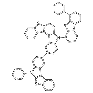 c1ccc(-c2cccc3c2sc2c(-n4c5ccc(-c6ccc7c(c6)c6c8ccccc8sc6n7-c6ccccc6)cc5c5c6c(ccc54)sc4ccccc46)cccc23)cc1